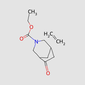 C=C.CCOC(=O)N1CC2CC(=O)C(C2)C1